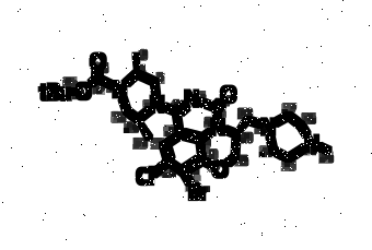 C[C@H]1CN(c2nc(=O)n3c4c(c(Br)c(Cl)cc24)OC[C@@H]3CN2CCN(C)CC2)[C@@H](C)CN1C(=O)OC(C)(C)C